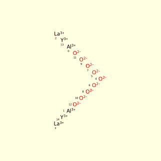 [Al+3].[Al+3].[La+3].[La+3].[O-2].[O-2].[O-2].[O-2].[O-2].[O-2].[O-2].[O-2].[O-2].[Y+3].[Y+3]